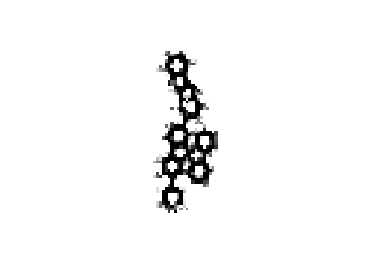 c1ccc2c(c1)-c1ccccc1C21c2cc(-c3ccncc3)ccc2-c2ccc(-c3ccc4nc5c6ccccc6sc5n4c3)cc21